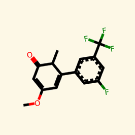 COC1=CC(=O)C(C)C(c2cc(F)cc(C(F)(F)F)c2)=C1